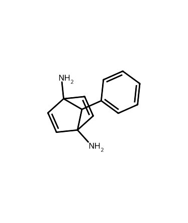 NC12C=CC(N)(C=C1)C2c1ccccc1